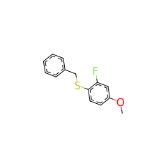 COc1ccc(SCc2ccccc2)c(F)c1